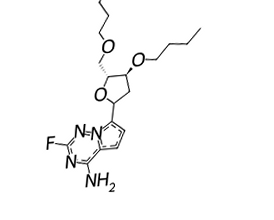 CCCCOC[C@H]1OC(c2ccc3c(N)nc(F)nn23)C[C@@H]1OCCCC